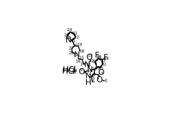 COC(=O)C1=C(C)NC(=O)N(N(C=O)CCCN2CCC(c3ccccn3)CC2)C1c1ccc(F)c(F)c1.Cl.Cl